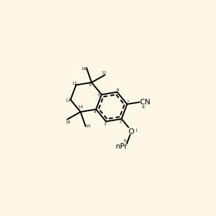 CCCOc1cc2c(cc1C#N)C(C)(C)CCC2(C)C